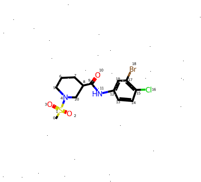 CS(=O)(=O)N1CCCC(C(=O)Nc2ccc(Cl)c(Br)c2)C1